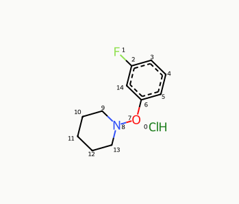 Cl.Fc1cccc(ON2CCCCC2)c1